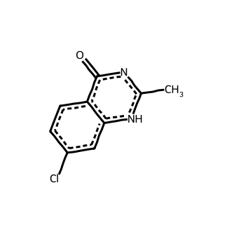 Cc1nc(=O)c2ccc(Cl)cc2[nH]1